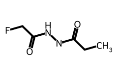 CCC(=O)[N]NC(=O)CF